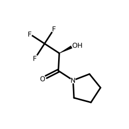 O=C([C@H](O)C(F)(F)F)N1CCCC1